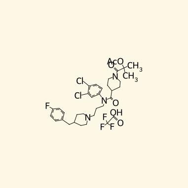 CC(=O)OC(C)(C)C(=O)N1CCC(C(=O)N(CCCN2CCC(Cc3ccc(F)cc3)CC2)c2ccc(Cl)c(Cl)c2)CC1.O=C(O)C(F)(F)F